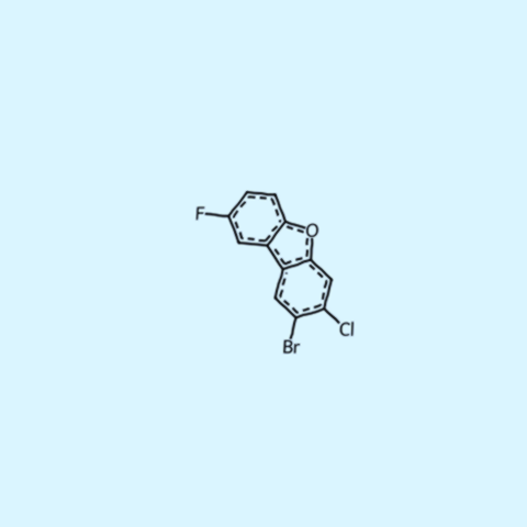 Fc1ccc2oc3cc(Cl)c(Br)cc3c2c1